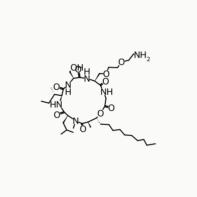 CCCCCCCCCC[C@H]1OC(=O)CNC(=O)[C@H](COCCOCCN)NC(=O)[C@H](CO)NC(=O)[C@H]([C@@H](C)CC)NC(=O)[C@H](CC(C)C)N(C)C(=O)[C@@H]1C